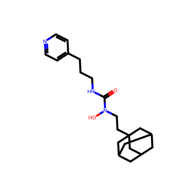 O=C(NCCCc1ccncc1)N(O)CCC12CC3CC(CC(C3)C1)C2